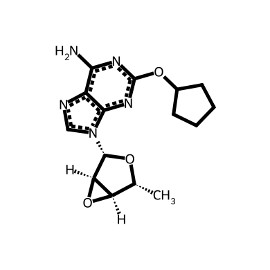 C[C@H]1O[C@@H](n2cnc3c(N)nc(OC4CCCC4)nc32)[C@@H]2O[C@@H]21